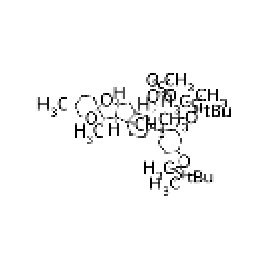 C[C@@H]1CC[C@@]2(OC1)O[C@H]1C[C@H]3[C@H](COS(C)(=O)=O)[C@@H]([C@@]4(C)CC[C@H](O[Si](C)(C)C(C)(C)C)C[C@@H]4CO[Si](C)(C)C(C)(C)C)CC[C@]3(C)[C@H]1[C@@H]2C